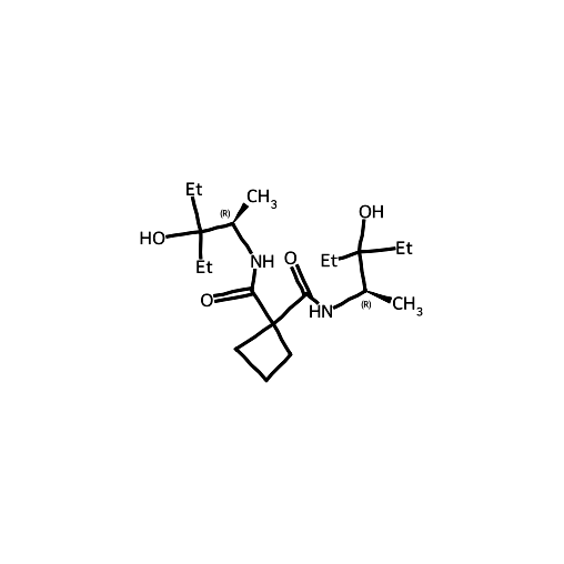 CCC(O)(CC)[C@@H](C)NC(=O)C1(C(=O)N[C@H](C)C(O)(CC)CC)CCC1